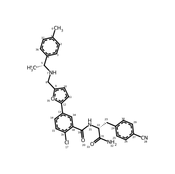 Cc1ccc([C@@H](C)NCc2ccc(-c3ccc(Cl)c(C(=O)N[C@H](Cc4ccc(C#N)cc4)C(N)=O)c3)o2)cc1